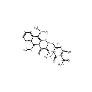 COc1c2c(c(N(C)C)c3ccccc13)CC1C[C@H]3CC(O)=C(C(N)=O)C(=O)[C@@]3(O)C(O)=C1C2=O